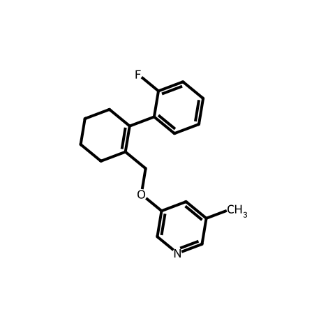 Cc1cncc(OCC2=C(c3ccccc3F)CCCC2)c1